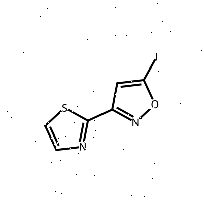 Ic1cc(-c2nccs2)no1